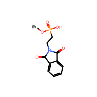 CCC(C)OP(=O)(O)CCN1C(=O)c2ccccc2C1=O